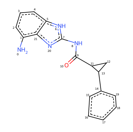 Nc1cccc2[nH]c(NC(=O)C3CC3c3ccccc3)nc12